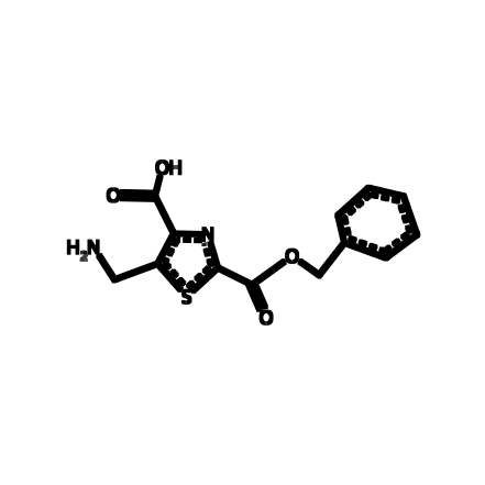 NCc1sc(C(=O)OCc2ccccc2)nc1C(=O)O